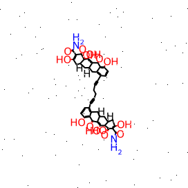 NC(=O)C1=C(O)C[C@@H]2C[C@@H]3Cc4c(C#CCCC#Cc5ccc(O)c6c5C[C@H]5C[C@H]7CC(O)=C(C(N)=O)C(=O)[C@@]7(O)C(O)=C5C6=O)ccc(O)c4C(=O)C3=C(O)[C@]2(O)C1=O